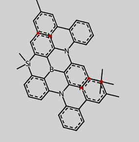 Cc1ccnc(-c2ccccc2N2c3cc(C(C)(C)C)cc4c3B3c5c2cccc5[Si](C)(C)c2cccc(c23)N4c2ccccc2-c2cc(C)ccn2)c1